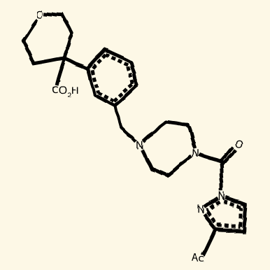 CC(=O)c1ccn(C(=O)N2CCN(Cc3cccc(C4(C(=O)O)CCOCC4)c3)CC2)n1